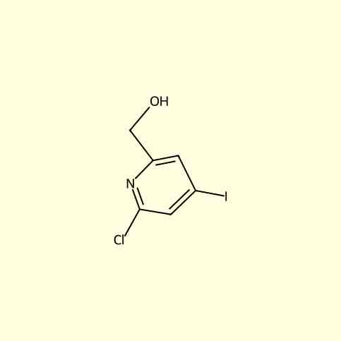 OCc1cc(I)cc(Cl)n1